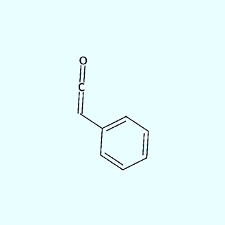 O=C=Cc1ccccc1